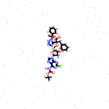 CC(C)(C)OC(=O)Nc1nc(Cl)nc2c1ncn2[C@@H]1O[C@H](COC(Cc2ccccc2)(C(=O)O)c2nnnn2C(C)(C)c2ccccc2)[C@@H](O)[C@@H]1F